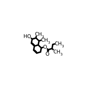 CCC(C)C(=O)OC1CC=CC2=CC(O)C(C)C(C)C21